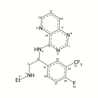 CCNCC(Nc1ncnc2cccnc12)c1ccc(F)c(C(F)(F)F)c1